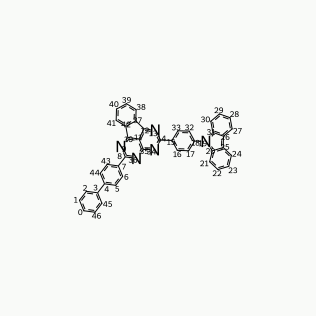 c1ccc(-c2ccc(-c3nc4c5c(nc(-c6ccc(-n7c8ccccc8c8ccccc87)cc6)nc5n3)-c3ccccc3-4)cc2)cc1